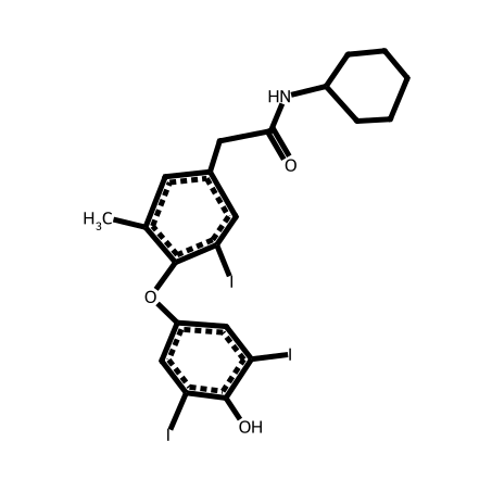 Cc1cc(CC(=O)NC2CCCCC2)cc(I)c1Oc1cc(I)c(O)c(I)c1